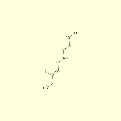 CCOCCNC/C=C(\C)CO